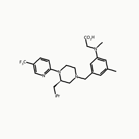 Cc1cc(CN2CCN(c3ccc(C(F)(F)F)cn3)[C@H](CC(C)C)C2)cc(N(C)CC(=O)O)c1